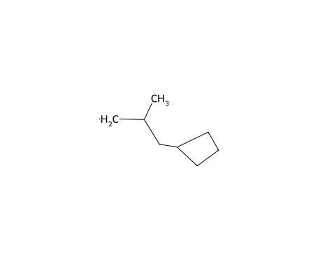 [CH2]C(C)CC1CCC1